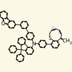 C=C1/C=C\C=C/CSc2c1cccc2-c1ccc(N(c2ccc(-c3cccc(-c4ccc5oc6ccccc6c5c4)c3)cc2)c2cccc3c2-c2ccccc2C3(c2ccccc2)c2ccccc2)cc1